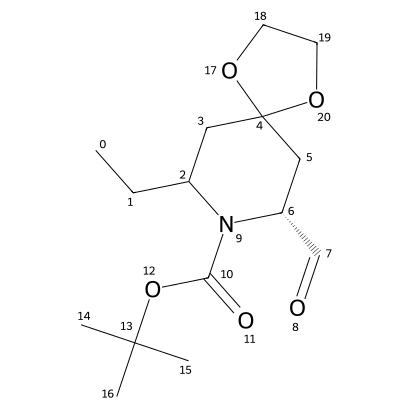 CCC1CC2(C[C@H](C=O)N1C(=O)OC(C)(C)C)OCCO2